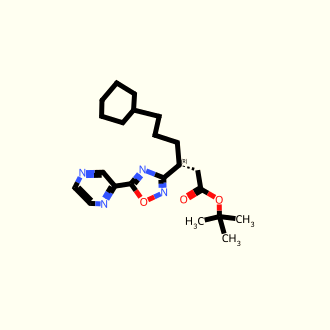 CC(C)(C)OC(=O)C[C@@H](CCCC1CCCCC1)c1noc(-c2cnccn2)n1